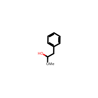 CO[C](O)Cc1ccccc1